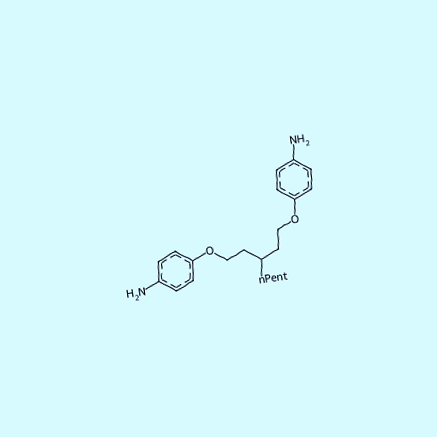 CCCCCC(CCOc1ccc(N)cc1)CCOc1ccc(N)cc1